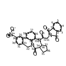 O=C1c2ccccc2C(=O)N1CC(=O)N1c2ccccc2N(Cc2ccc([N+](=O)[O-])cc2)C(=O)C2CCCC21